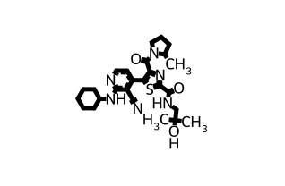 CC1CCCN1C(=O)c1nc(C(=O)NCC(C)(C)O)sc1-c1ccnc(NC2CCCCC2)c1C#N